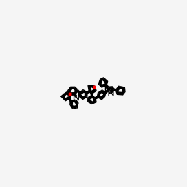 c1ccc(-c2cc(-c3ccccc3)n(-c3ccc(-c4ccccc4-c4ccccc4-c4ccc5c(c4)c4ccccc4n5-c4ccccc4-c4ccccc4)cc3)n2)cc1